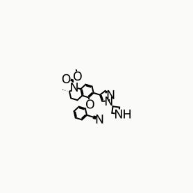 COC(=O)N1c2ccc(-c3cnn(C4CNC4)c3)c(Oc3ccccc3C#N)c2CC[C@@H]1C